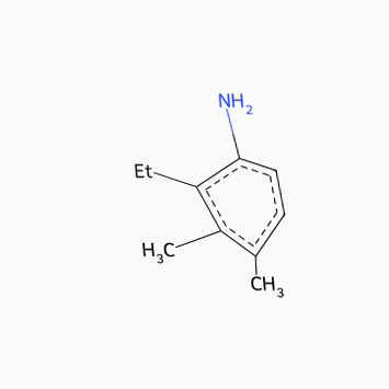 CCc1c(N)ccc(C)c1C